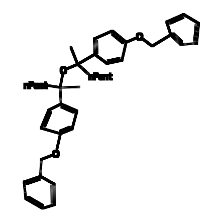 CCCCCC(C)(OC(C)(CCCCC)c1ccc(OCc2ccccc2)cc1)c1ccc(OCc2ccccc2)cc1